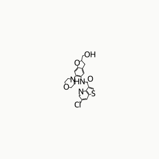 O=C(Nc1cc2c(cc1N1CCOCC1)OC(CO)C2)c1csc2cc(Cl)cnc12